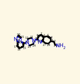 NCCC1C=Cc2ccc(N3CCN(c4cccc5nccn45)CC3)nc2CC1